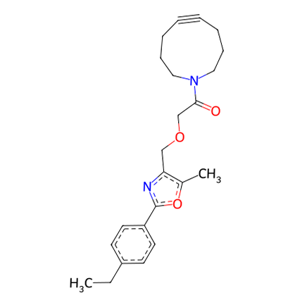 CCc1ccc(-c2nc(COCC(=O)N3CCCC#CCCC3)c(C)o2)cc1